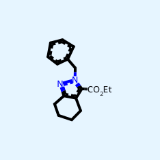 CCOC(=O)c1c2c(nn1Cc1ccccc1)CCCC2